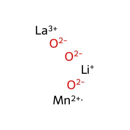 [La+3].[Li+].[Mn+2].[O-2].[O-2].[O-2]